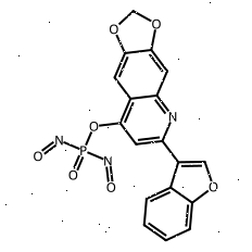 O=NP(=O)(N=O)Oc1cc(-c2coc3ccccc23)nc2cc3c(cc12)OCO3